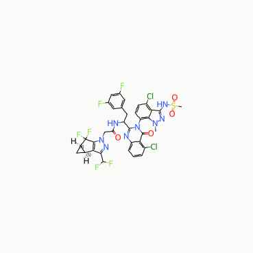 Cn1nc(NS(C)(=O)=O)c2c(Cl)ccc(-n3c(C(Cc4cc(F)cc(F)c4)NC(=O)Cn4nc(C(F)F)c5c4C(F)(F)[C@@H]4C[C@H]54)nc4cccc(Cl)c4c3=O)c21